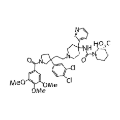 COc1cc(C(=O)N2CCC(CCN3CCC(NC(=O)N4CCCCC4C(=O)O)(c4cccnc4)CC3)(c3ccc(Cl)c(Cl)c3)C2)cc(OC)c1OC